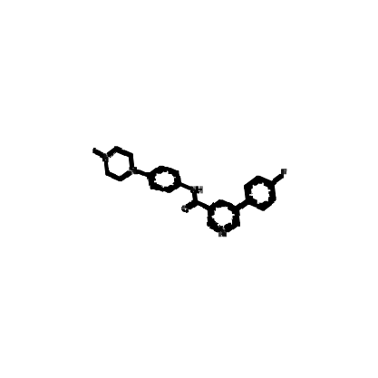 CN1CCN(c2ccc(NC(=O)c3cncc(-c4ccc(F)cc4)c3)cc2)CC1